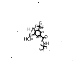 CCC(C)(C)NCC(=O)c1cc(Br)c(N)c(C(F)(F)F)c1.Cl